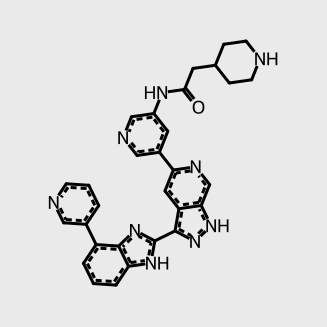 O=C(CC1CCNCC1)Nc1cncc(-c2cc3c(-c4nc5c(-c6cccnc6)cccc5[nH]4)n[nH]c3cn2)c1